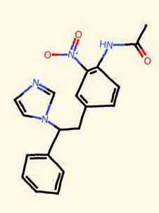 CC(=O)Nc1ccc(CC(c2ccccc2)n2ccnc2)cc1[N+](=O)[O-]